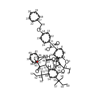 CCC(Oc1ccc(S(=O)(=O)c2ccc(OCc3ccccc3)cc2)cc1Cl)(Oc1cc(C(C(=O)Nc2ccccc2)C(=O)C(C)(C)C)c(C(C)(C)CC)cc1C(C)(C)CC)C(N)=O